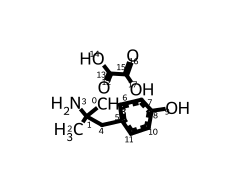 CC(C)(N)Cc1ccc(O)cc1.O=C(O)C(=O)O